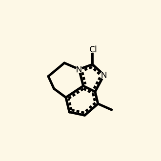 Cc1ccc2c3c1nc(Cl)n3CCC2